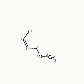 COC/C=C\I